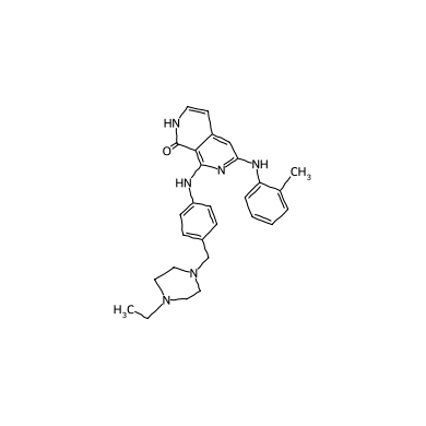 CCN1CCN(Cc2ccc(Nc3nc(Nc4ccccc4C)cc4cc[nH]c(=O)c34)cc2)CC1